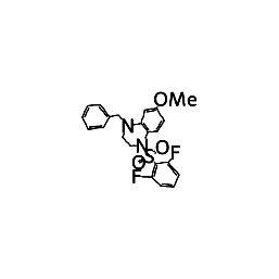 COc1ccc2c(c1)N(Cc1ccccc1)CCN2S(=O)(=O)c1c(F)cccc1F